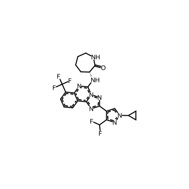 O=C1NCCCC[C@H]1Nc1nc2c(C(F)(F)F)cccc2c2nc(-c3cn(C4CC4)nc3C(F)F)nn12